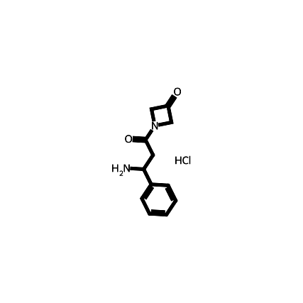 Cl.NC(CC(=O)N1CC(=O)C1)c1ccccc1